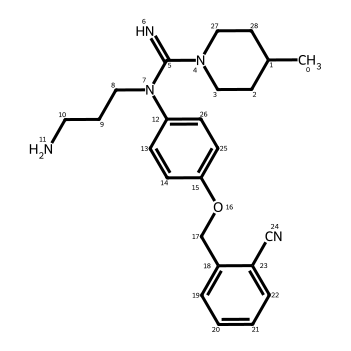 CC1CCN(C(=N)N(CCCN)c2ccc(OCc3ccccc3C#N)cc2)CC1